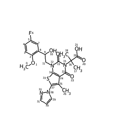 COc1ccc(F)cc1C(O)Cn1c(=O)n(C(C)(C)C(=O)O)c(=O)c2c(C)c(-n3cccn3)sc21